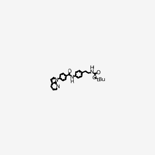 CC(C)(C)OC(=O)NCCc1ccc(NC(=O)c2ccc(-n3ccc4cccnc43)cc2)cc1